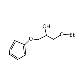 CCOCC(O)COc1ccccc1